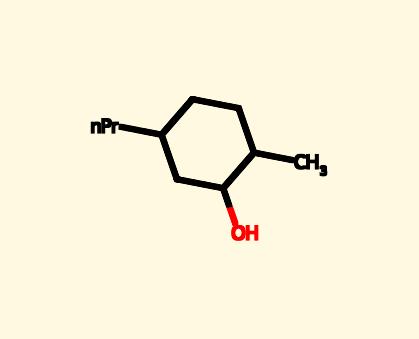 CCCC1CCC(C)C(O)C1